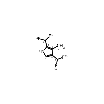 CC1=C(C(F)F)[N][C]=C1C(F)F